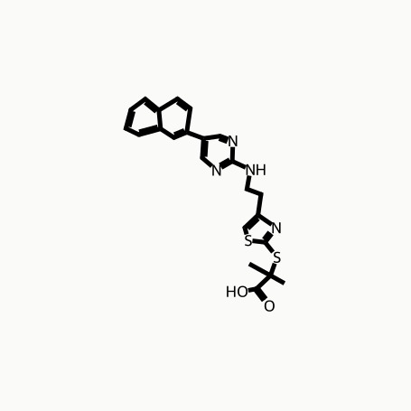 CC(C)(Sc1nc(CCNc2ncc(-c3ccc4ccccc4c3)cn2)cs1)C(=O)O